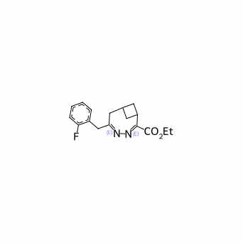 CCOC(=O)/C1=N/N=C(/Cc2ccccc2F)CC2CC1C2